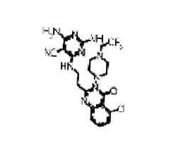 N#Cc1c(N)nc(N)nc1NCCc1nc2cccc(Cl)c2c(=O)n1N1CCN(CC(F)(F)F)CC1